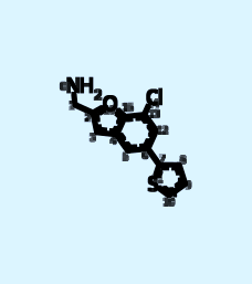 NCc1cc2cc(-c3cc[c]s3)cc(Cl)c2o1